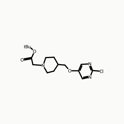 CC(C)(C)OC(=O)CN1CCC(COc2cnc(Cl)nc2)CC1